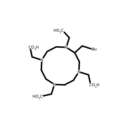 CCC(C)CC1CN(CC(=O)O)CCN(CC(=O)O)CCN(CC(=O)O)CCN1CC(=O)O